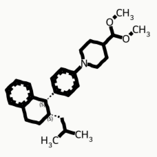 COC(OC)C1CCN(c2ccc([C@H]3c4ccccc4CC[C@H]3CC(C)C)cc2)CC1